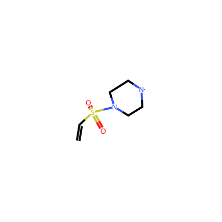 C=CS(=O)(=O)N1CC[N]CC1